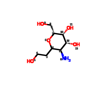 N[C@H]1C(CCO)O[C@H](CO)[C@H](O)[C@@H]1O